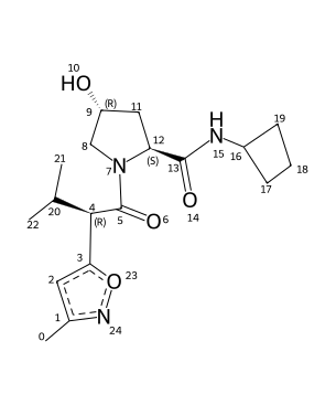 Cc1cc([C@H](C(=O)N2C[C@H](O)C[C@H]2C(=O)NC2CCC2)C(C)C)on1